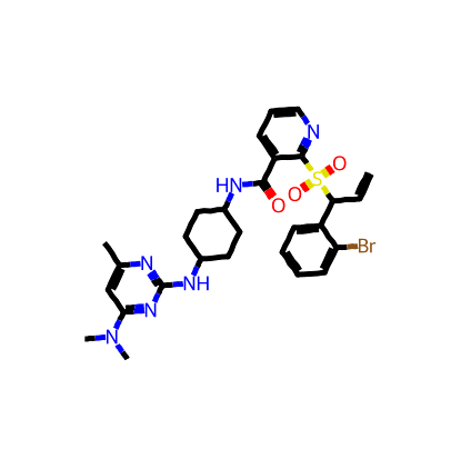 C=CC(c1ccccc1Br)S(=O)(=O)c1ncccc1C(=O)NC1CCC(Nc2nc(C)cc(N(C)C)n2)CC1